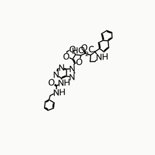 O=C(NCc1ccccc1)Nc1ncnc2c1ncn2C1=C2OCOC2C(C(=O)C2CCNC2(C(=O)O)c2ccc3ccccc3c2)O1